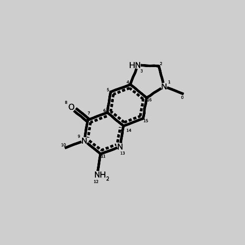 CN1CNc2cc3c(=O)n(C)c(N)nc3cc21